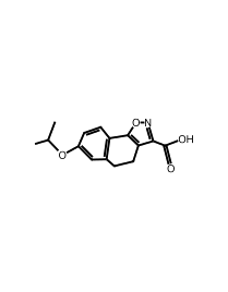 CC(C)Oc1ccc2c(c1)CCc1c(C(=O)O)noc1-2